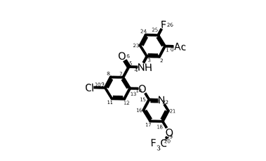 CC(=O)c1cc(NC(=O)c2cc(Cl)ccc2Oc2ccc(OC(F)(F)F)cn2)ccc1F